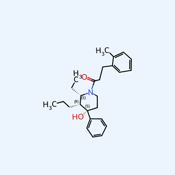 CCC[C@@H]1[C@H](CC)N(C(=O)CCc2ccccc2C)CC[C@@]1(O)c1ccccc1